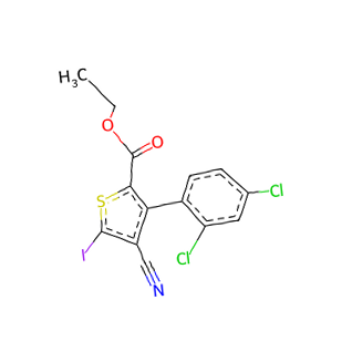 CCOC(=O)c1sc(I)c(C#N)c1-c1ccc(Cl)cc1Cl